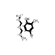 COCOCOC.Cc1cc(Br)ccc1O